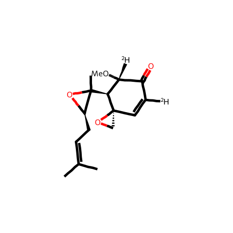 [2H]C1=C[C@]2(CO2)[C@@H](C2(C)O[C@@H]2CC=C(C)C)[C@]([2H])(OC)C1=O